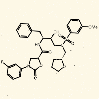 COc1cccc(S(=O)(=O)N(C[C@H]2CCCO2)C[C@H](O)[C@H](Cc2ccccc2)NC(=O)[C@@H]2CN(c3cccc(F)c3)C(=O)O2)c1